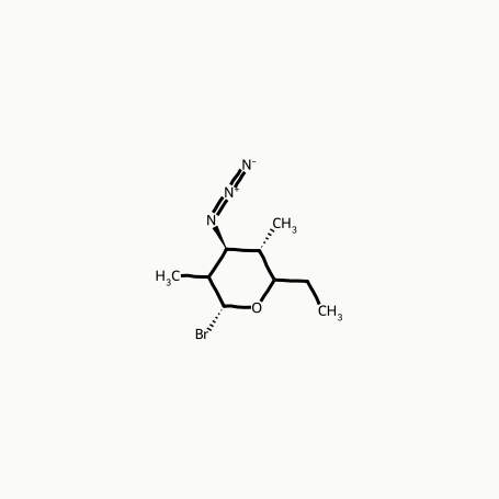 CCC1O[C@H](Br)C(C)[C@@H](N=[N+]=[N-])[C@@H]1C